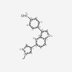 Cn1cc(-c2ccc3occ(-c4ccc(C=O)cc4)c3n2)cn1